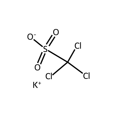 O=S(=O)([O-])C(Cl)(Cl)Cl.[K+]